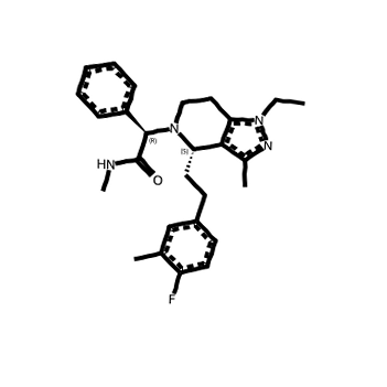 CCn1nc(C)c2c1CCN([C@@H](C(=O)NC)c1ccccc1)[C@H]2CCc1ccc(F)c(C)c1